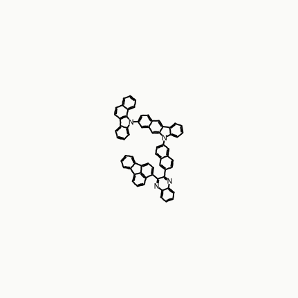 c1ccc2c(c1)-c1cccc3c(-c4nc5ccccc5nc4-c4ccc5cc(-n6c7ccccc7c7cc8ccc(-n9c%10ccccc%10c%10ccc%11ccccc%11c%109)cc8cc76)ccc5c4)ccc-2c13